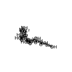 CC(C)(COP(=O)(O)OP(=O)(O)OC[C@H]1O[C@@H](n2cnc3c(N)ncnc32)[C@H](O)[C@@H]1OP(=O)(O)O)[C@@H](O)C(=O)NCCC(=O)NCCSCCCO